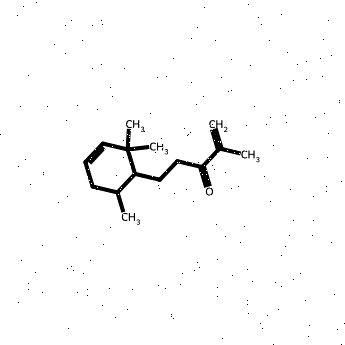 C=C(C)C(=O)CCC1C(C)CC=CC1(C)C